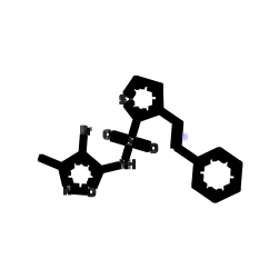 Cc1noc(NS(=O)(=O)c2sccc2/C=C/c2ccccc2)c1Br